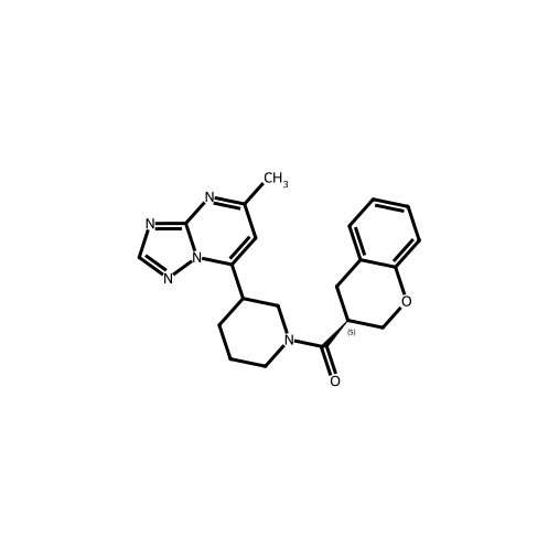 Cc1cc(C2CCCN(C(=O)[C@@H]3COc4ccccc4C3)C2)n2ncnc2n1